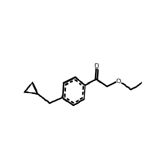 CCOCC(=O)c1ccc(CC2CC2)cc1